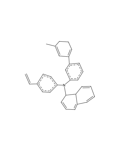 C=Cc1ccc(N(c2cccc(C3=CCCC(C)=C3)c2)C2C=CC=C3C=CC=CC32)cc1